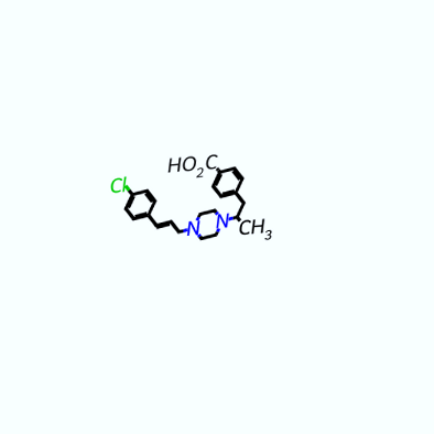 CC(Cc1ccc(C(=O)O)cc1)N1CCN(CC=Cc2ccc(Cl)cc2)CC1